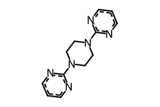 c1cnc(N2CCN(c3ncccn3)CC2)nc1